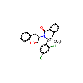 O=C(O)[C@H]1c2ccccc2C(=O)N(C(CO)Cc2ccccc2)[C@@H]1c1ccc(Cl)cc1Cl